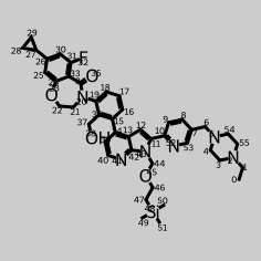 CCN1CCN(Cc2ccc(-c3cc4c(-c5cccc(N6CCOc7cc(C8CC8)cc(F)c7C6=O)c5CO)ccnc4n3COCC[Si](C)(C)C)nc2)CC1